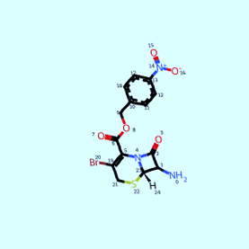 NC1C(=O)N2C(C(=O)OCc3ccc([N+](=O)[O-])cc3)=C(Br)CS[C@@H]12